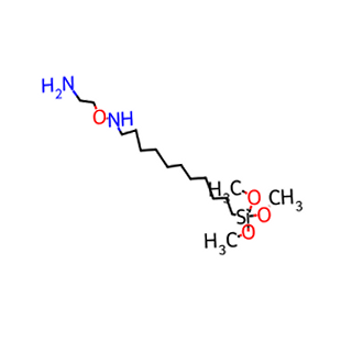 CO[Si](CCCCCCCCCCCNOCCN)(OC)OC